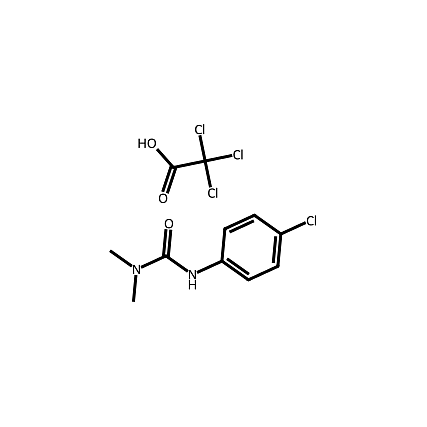 CN(C)C(=O)Nc1ccc(Cl)cc1.O=C(O)C(Cl)(Cl)Cl